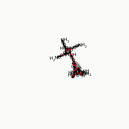 CC(=O)N[C@@H](Cc1c[nH]c2ccccc12)C(=O)N[C@@H](Cc1ccc(O)cc1)C(=O)N[C@@H](CCCNC(=N)N)C(=O)NCC(=O)N[C@@H](CCCNC(=N)N)C(=O)N[C@H]1CC(C)N(CCOCCOCCNC(=O)CN2CCN(CC(=O)NCCOCCOCCN)CCN(CC(=O)NCCOCCOCCN)CCN(CC(=O)NCCOCCOCCN)CC2)C1=O